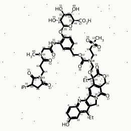 CCc1c2c(nc3ccc(O)cc13)-c1cc3c(c(=O)n1C2)COC(=O)[C@@]3(CC)OCN(CCS(C)(=O)=O)C(=O)OCc1ccc(O[C@@H]2O[C@H](C(=O)O)[C@@H](O)[C@H](O)[C@H]2O)c(NC(=O)CN(C)C(=O)CCN2C(=O)CC(C(C)C)C2=O)c1